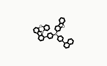 c1ccc2c(c1)Oc1cccc3c4cccc(-c5ccc(N(c6ccc(-c7cccc8ccccc78)cc6)c6ccc7c(c6)oc6ccccc67)cc5)c4n-2c13